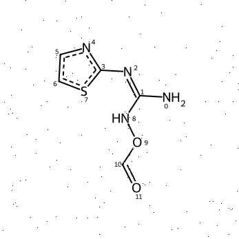 NC(=Nc1nccs1)NOC=O